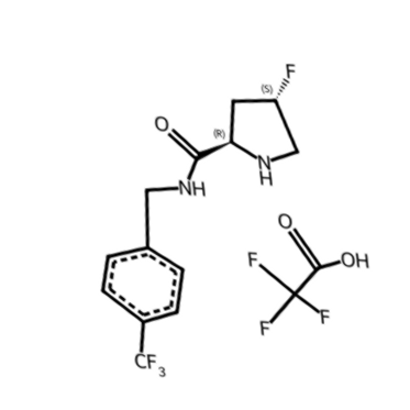 O=C(NCc1ccc(C(F)(F)F)cc1)[C@H]1C[C@H](F)CN1.O=C(O)C(F)(F)F